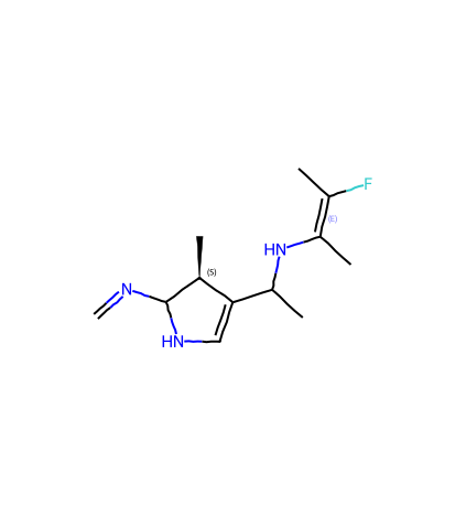 C=NC1NC=C(C(C)N/C(C)=C(\C)F)[C@@H]1C